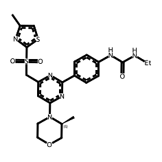 CCNC(=O)Nc1ccc(-c2nc(CS(=O)(=O)c3nc(C)cs3)cc(N3CCOC[C@@H]3C)n2)cc1